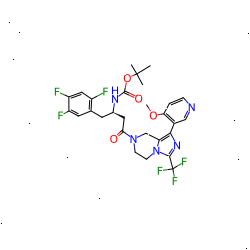 COc1ccncc1-c1nc(C(F)(F)F)n2c1CN(C(=O)C[C@@H](Cc1cc(F)c(F)cc1F)NC(=O)OC(C)(C)C)CC2